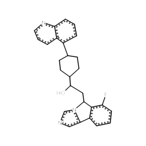 OC(CC1c2c(F)cccc2-c2cncn21)C1CCC(c2cccc3ncccc23)CC1